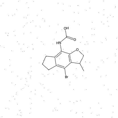 CC1COc2c(NC(=O)O)c3c(c(Br)c21)CCC3